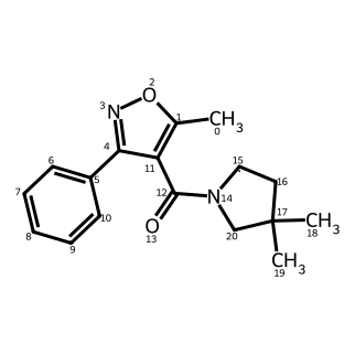 Cc1onc(-c2ccccc2)c1C(=O)N1[CH]CC(C)(C)C1